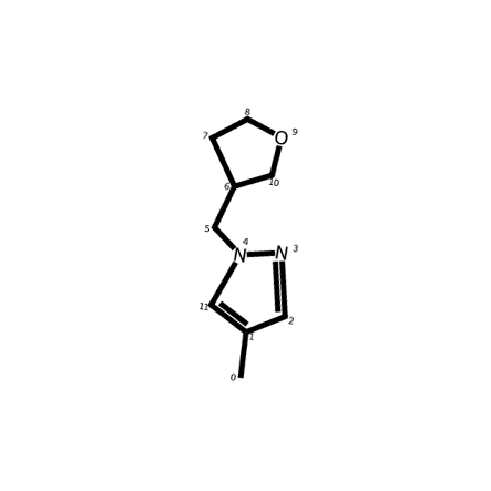 Cc1cnn(CC2CCOC2)c1